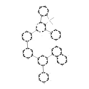 C[Si]1(C)c2ccccc2-c2nc(-c3cccc(-c4cccc(-c5cc(-c6ccccc6)cc(-c6cccc7ccccc67)c5)c4)c3)nc(-c3ccccc3)c21